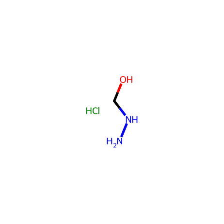 Cl.NNCO